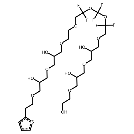 OCCOCC(O)COCC(O)COCC(F)(F)OC(F)(F)OC(F)(F)COCCOCC(O)COCC(O)COCCc1cccs1